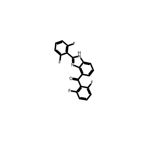 O=C(c1c(F)cccc1F)c1cccc2[nH]c(-c3c(F)cccc3F)nc12